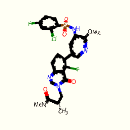 CNC(=O)[C@@H](C)Cn1cnc2ccc(-c3cnc(OC)c(NS(=O)(=O)c4ccc(F)cc4Cl)c3)c(F)c2c1=O